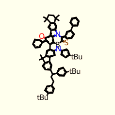 CC(C)(C)c1ccc(CCC(c2ccc(C(C)(C)C)cc2)c2ccc3c(c2)-c2cc4c(cc2C3(C)C)-c2c3c5c(c6cc7c(cc6n5-c5c(sc6ccc(-c8ccccc8)cc56)B3N4c3ccc(C(C)(C)C)cc3)C(C)(C)CCC7(C)C)c3oc4ccccc4c23)cc1